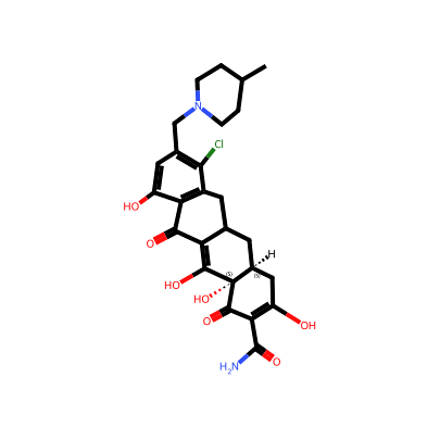 CC1CCN(Cc2cc(O)c3c(c2Cl)CC2C[C@H]4CC(O)=C(C(N)=O)C(=O)[C@@]4(O)C(O)=C2C3=O)CC1